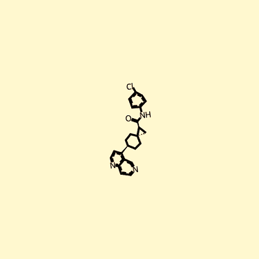 O=C(Nc1ccc(Cl)cc1)[C@H]1C[C@]12CC[C@H](c1ccnc3ccncc31)CC2